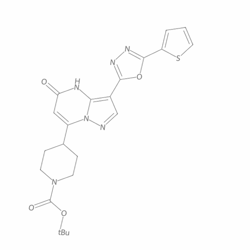 CC(C)(C)OC(=O)N1CCC(c2cc(=O)[nH]c3c(-c4nnc(-c5cccs5)o4)cnn23)CC1